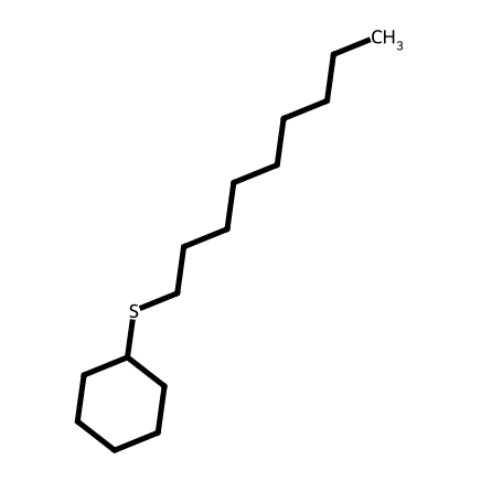 CCCCCCCCCSC1CCCCC1